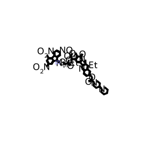 CCc1c2c(nc3ccc(OC(=O)N4CCC(N5CCCCC5)CC4)cc13)-c1cc3c(c(=O)n1C2)COC(=O)[C@@]3(CC)OC(=O)[C@H](C)O/N=C1/c2cc([N+](=O)[O-])cc(C)c2-c2c1cc([N+](=O)[O-])cc2[N+](=O)[O-]